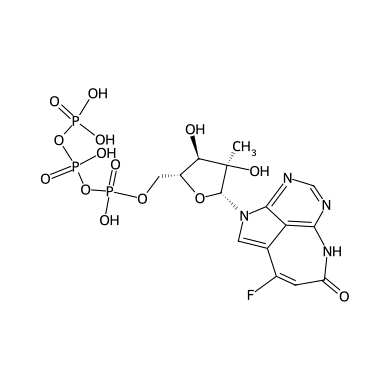 C[C@@]1(O)[C@H](O)[C@@H](COP(=O)(O)OP(=O)(O)OP(=O)(O)O)O[C@H]1n1cc2c3c(ncnc31)NC(=O)C=C2F